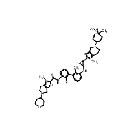 Cc1c(NC2OC2c2nc3c(n2C)CCN(C2CCC(C)(C(=O)O)CC2)C3)cccc1-c1cccc(NC(=O)c2nc3c(n2C)CCN(C2CCOCC2)C3)c1Cl